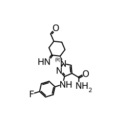 N=C1CC(C=O)CC[C@H]1n1cc(C(N)=O)c(Nc2ccc(F)cc2)n1